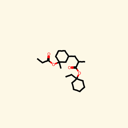 CCC(=O)OC1(C)CCCC(CC(C)C(=O)OC2(CC)CCCCC2)C1